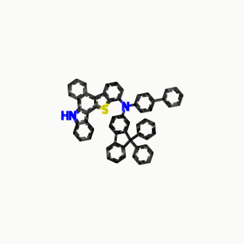 c1ccc(-c2ccc(N(c3ccc4c(c3)C(c3ccccc3)(c3ccccc3)c3ccccc3-4)c3cccc4c3sc3c4c4ccccc4c4[nH]c5ccccc5c43)cc2)cc1